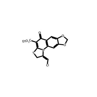 CCOC(=O)c1c2n(c3cc4c(cc3c1=O)OCO4)C(=CCl)CS2